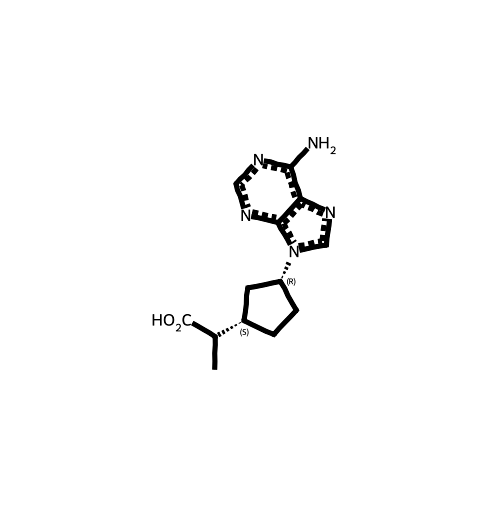 CC(C(=O)O)[C@H]1CC[C@@H](n2cnc3c(N)ncnc32)C1